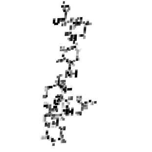 CC[C@@H](CNc1ccc(N2CCO[C@@H](C(=O)OC)C2)cc1)NC(=O)[C@H](CC(C)C)N[C@@H](c1ccccc1)C(F)(F)F